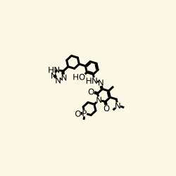 CC1=C(CN(C)C)C(=O)N(C2CCP(C)(=O)CC2)C(=O)C1=NNc1cccc(C2CCCC(c3nnn[nH]3)C2)c1O